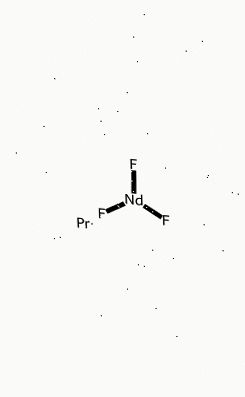 [F][Nd]([F])[F].[Pr]